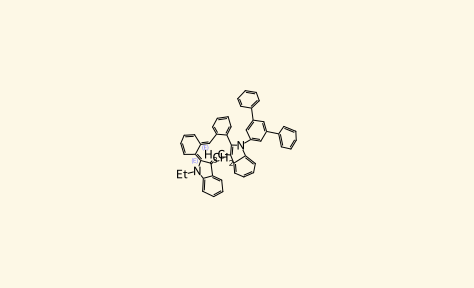 C=c1/c(=c2/cccc/c2=C\c2ccccc2-c2c(C)c3ccccc3n2-c2cc(-c3ccccc3)cc(-c3ccccc3)c2)n(CC)c2ccccc12